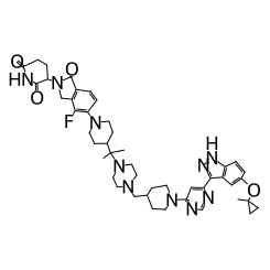 CC1(Oc2ccc3[nH]nc(-c4cc(N5CCC(CN6CCN(C(C)(C)C7CCN(c8ccc9c(c8F)CN(C8CCC(=O)NC8=O)C9=O)CC7)CC6)CC5)ncn4)c3c2)CC1